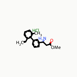 C=Cc1cccc(C)c1-c1cccc([C@@H](N)CC(=O)OC)c1.Cl